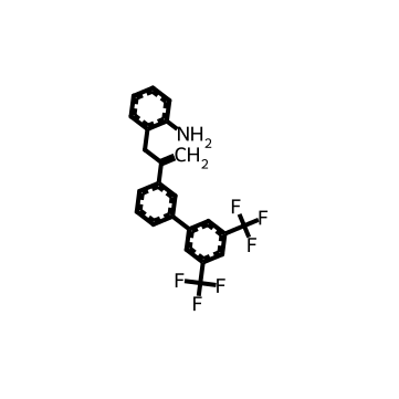 C=C(Cc1ccccc1N)c1cccc(-c2cc(C(F)(F)F)cc(C(F)(F)F)c2)c1